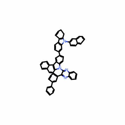 C1=Cc2c(n(-c3ccc4ccccc4c3)c3cc(-c4ccc5c(c4)c4c6ccccc6ccc4n5-c4nc5ccccc5nc4-c4cccc(-c5ccccc5)c4)ccc23)CC1